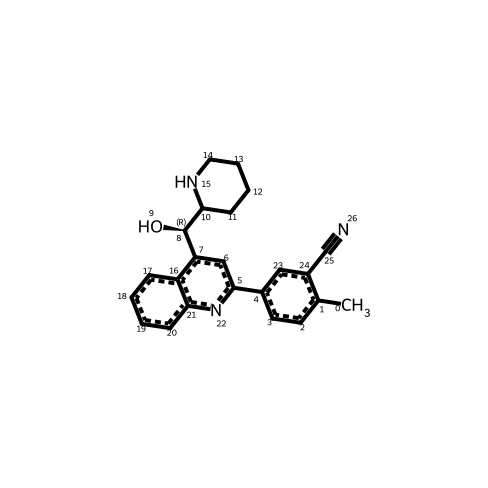 Cc1ccc(-c2cc([C@@H](O)C3CCCCN3)c3ccccc3n2)cc1C#N